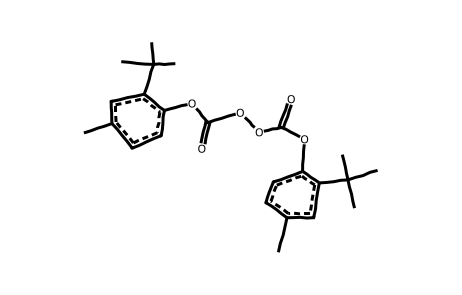 Cc1ccc(OC(=O)OOC(=O)Oc2ccc(C)cc2C(C)(C)C)c(C(C)(C)C)c1